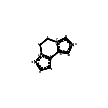 c1cc2n(n1)CCn1cncc1-2